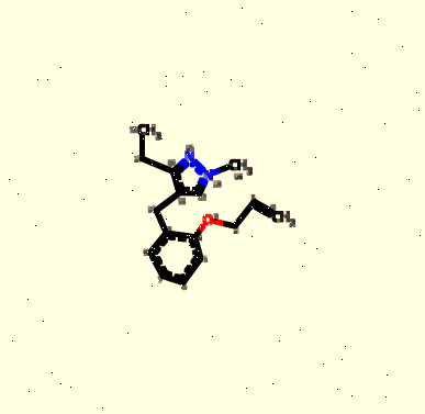 C=CCOc1ccccc1Cc1cn(C)nc1CC